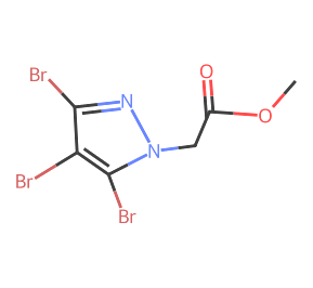 COC(=O)Cn1nc(Br)c(Br)c1Br